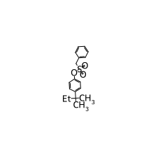 CCC(C)(C)c1ccc(OS(=O)(=O)Cc2ccccc2)cc1